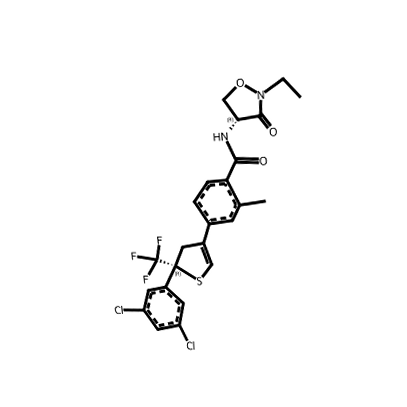 CCN1OC[C@@H](NC(=O)c2ccc(C3=CS[C@](c4cc(Cl)cc(Cl)c4)(C(F)(F)F)C3)cc2C)C1=O